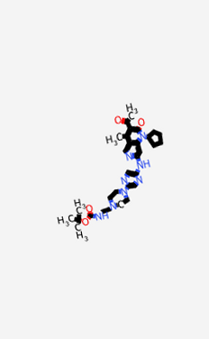 CC(=O)c1c(C)c2cnc(Nc3cnc(N4CCN(CCNC(=O)OC(C)(C)C)CC4)cn3)cc2n(C2CCCC2)c1=O